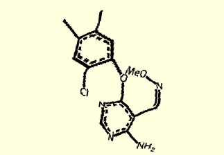 CO/N=C\c1c(N)ncnc1Oc1cc(C)c(C)cc1Cl